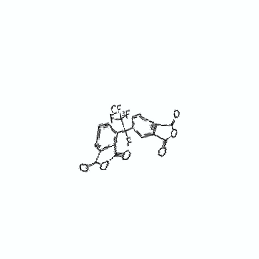 O=C1OC(=O)c2cc(C(F)(c3cccc4c3C(=O)OC4=O)C(F)(F)C(F)(F)F)ccc21